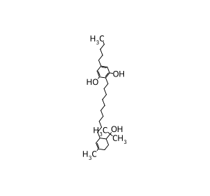 CCCCCc1cc(O)c(CCCCCCCCCCC2C=C(C)CCC2C(C)(C)O)c(O)c1